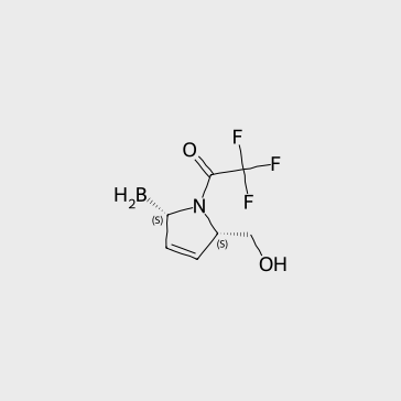 B[C@H]1C=C[C@@H](CO)N1C(=O)C(F)(F)F